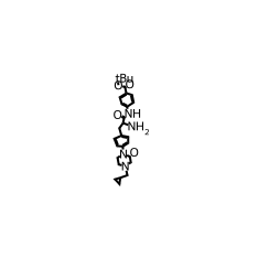 CC(C)(C)OC(=O)c1ccc(NC(=O)C(N)Cc2ccc(N3CCN(CC4CC4)CC3=O)cc2)cc1